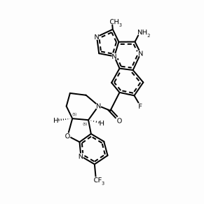 Cc1ncn2c1c(N)nc1cc(F)c(C(=O)N3CCC[C@@H]4Oc5nc(C(F)(F)F)ccc5[C@@H]43)cc12